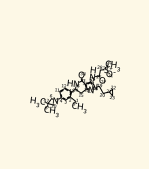 CCc1cc(N2CC(C)(C)C2)ccc1C1Cc2nn(CCC3CC3)c(NC(=O)C[S+](C)[O-])c2C(=O)N1